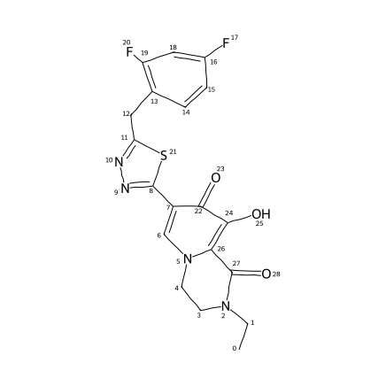 CCN1CCn2cc(-c3nnc(Cc4ccc(F)cc4F)s3)c(=O)c(O)c2C1=O